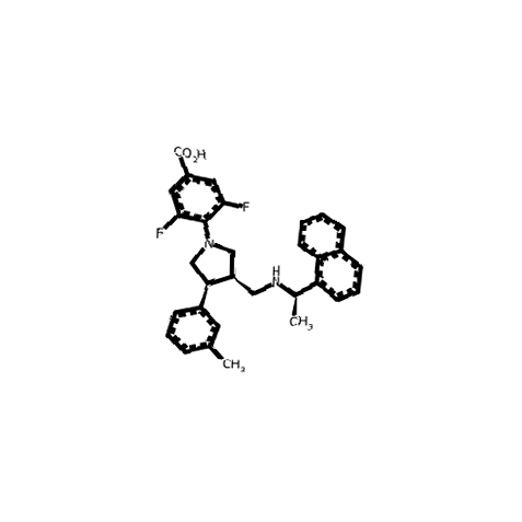 Cc1cccc([C@H]2CN(c3c(F)cc(C(=O)O)cc3F)C[C@H]2CN[C@H](C)c2cccc3ccccc23)c1